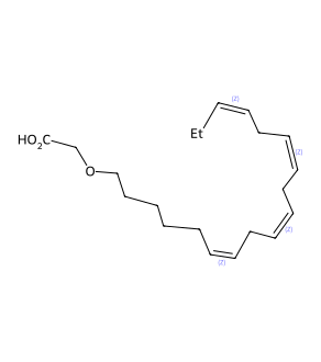 CC/C=C\C/C=C\C/C=C\C/C=C\CCCCCOCC(=O)O